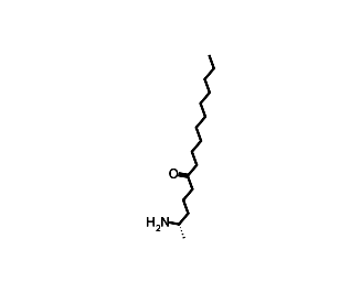 CCCCCCCCCCC(=O)CCC[C@H](C)N